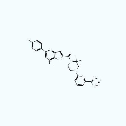 CC(C)(C)c1cc(-c2ccc(Cl)cc2)nc2cc(C(=O)N3CCN(c4cccc(-c5nnn[nH]5)n4)CC3(C)C)oc12